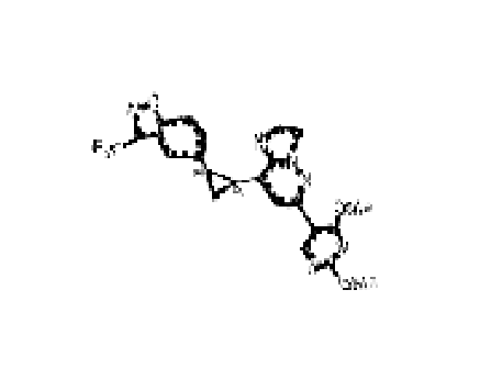 COc1ncc(-c2cc([C@H]3C[C@H]3c3ccc4onc(C(F)(F)F)c4c3)c3nccn3n2)c(OC)n1